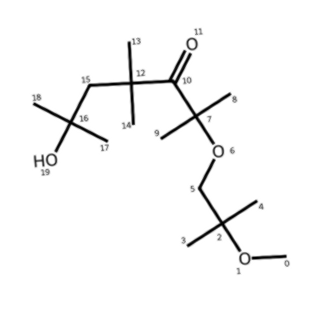 COC(C)(C)COC(C)(C)C(=O)C(C)(C)CC(C)(C)O